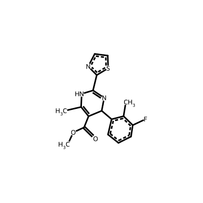 COC(=O)C1=C(C)NC(c2nccs2)=NC1c1cccc(F)c1C